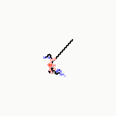 CCCCCCCCCCCCCCCCCCOC[C@H](COP(=O)(O)OC1[C@@]2(C)O[C@@H](c3ccc4c(N)ncnn34)[C@@H]3OC(C)(C)O[C@@]132)OCc1cccc(C#N)n1